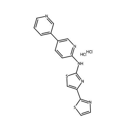 Cl.Cl.c1cncc(-c2ccc(Nc3nc(-c4nccs4)cs3)nc2)c1